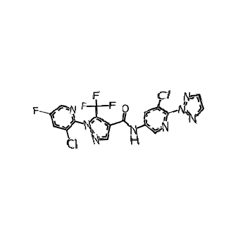 O=C(Nc1cnc(-n2nccn2)c(Cl)c1)c1cnn(-c2ncc(F)cc2Cl)c1C(F)(F)F